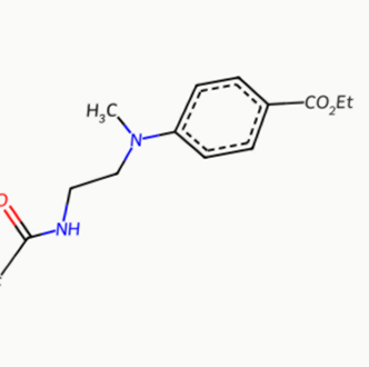 CCOC(=O)c1ccc(N(C)CCNC(=O)C(C)=O)cc1